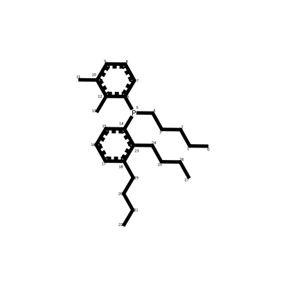 CCCCCP(c1cccc(C)c1C)c1cccc(CCCC)c1CCCC